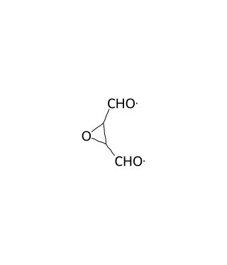 O=[C]C1OC1[C]=O